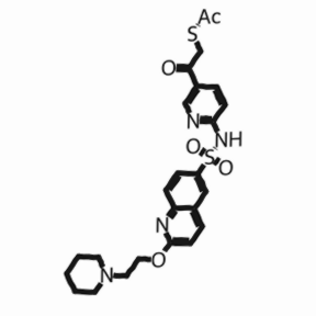 CC(=O)SCC(=O)c1ccc(NS(=O)(=O)c2ccc3nc(OCCN4CCCCC4)ccc3c2)nc1